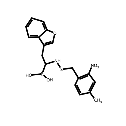 Cc1ccc(CSNC(Cc2coc3ccccc23)B(O)O)c([N+](=O)[O-])c1